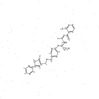 CC(=CC(=O)c1ccccc1F)N[C@@H](Cc1ccc(OCCc2nc(-c3ccccc3)oc2C)cc1)C(=O)O